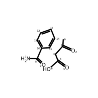 CC(=O)CC(=O)O.NC(=O)c1ccccc1